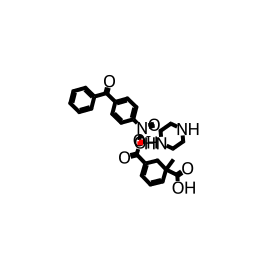 C1CNCCN1.CC1(C(=O)O)C=CC=C(C(=O)O)C1.O=C(c1ccccc1)c1ccc([N+](=O)[O-])cc1